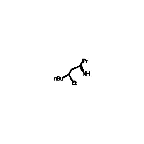 CCCC[C@H](CC)CC(=N)C(C)C